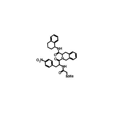 CNCC(=O)NC(Cc1ccc([N+](=O)[O-])cc1)C(=O)N1Cc2ccccc2CC1C(=O)NC1CCCc2ccccc21